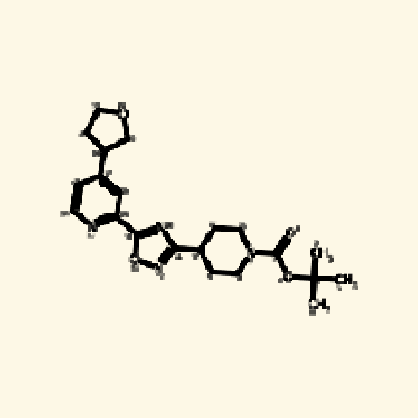 CC(C)(C)OC(=O)N1CCC(c2noc(-c3cc(C4CCOC4)ccn3)n2)CC1